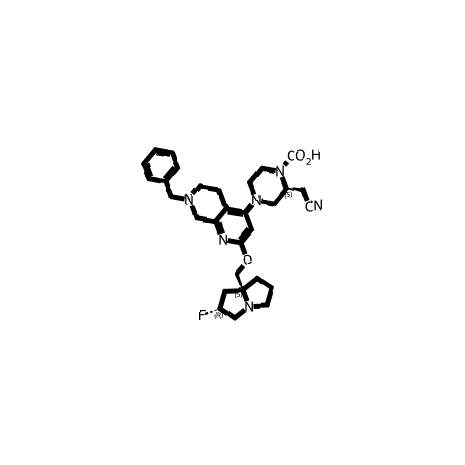 N#CC[C@H]1CN(c2cc(OC[C@@]34CCCN3C[C@H](F)C4)nc3c2CCN(Cc2ccccc2)C3)CCN1C(=O)O